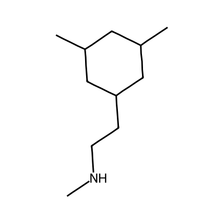 CNCCC1CC(C)CC(C)C1